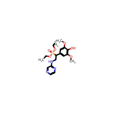 CCOP(=O)(OCC)C(CNc1cnccn1)c1cc(OC)c(O)c(OC)c1